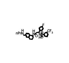 CCCNCc1ccc2c(c1)CCC[C@H]2NC(=O)CC(NS(=O)(=O)c1cccc(C(F)(F)F)c1)c1ccc(F)cc1